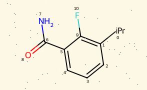 CC(C)c1cccc(C(N)=O)c1F